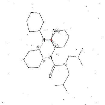 CC(C)CN(CC(C)C)C(=O)N(C1CCCCC1)[C@@H]1CCCC[C@@H]1N(C(N)=O)C1CCCCC1